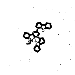 C=CC(=O)Oc1c(-c2ccccc2)cc(-c2cccc3c2sc2ccccc23)cc1-c1cccc2c1sc1ccccc12